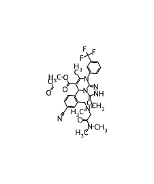 COC(=O)C1=C(C)N(c2cccc(C(F)(F)F)c2)c2n[nH]c(=O)n2C1c1ccc(C#N)cc1C[N+](C)(C)CC(=O)N(C)C.O=C[O-]